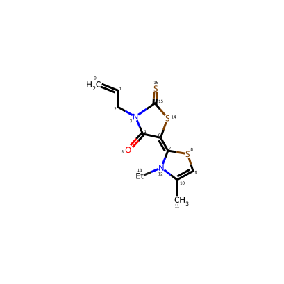 C=CCN1C(=O)C(=C2SC=C(C)N2CC)SC1=S